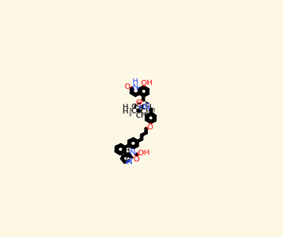 CC(C)(C)[Si](C)(C)O[C@@H](CNCc1ccc(OCCCCc2ccc(-c3ccccc3)c(N(C(=O)O)[C@H]3CN4CCC3CC4)c2)cc1)c1ccc(O)c2[nH]c(=O)ccc12